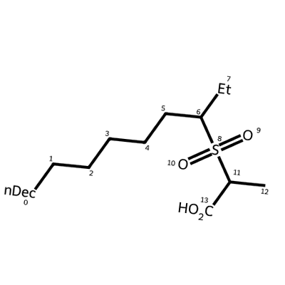 CCCCCCCCCCCCCCCC(CC)S(=O)(=O)C(C)C(=O)O